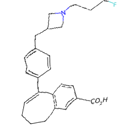 O=C(O)c1ccc2c(c1)CCCC=C2c1ccc(CC2CN(CCCF)C2)cc1